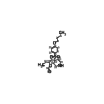 CCCCOc1ccc(S(=O)(=O)C2(CC(CC)OC=O)CCNCC2)cc1